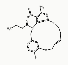 CCOC(=O)N1Cc2ccc(F)c(c2)OC/C=C/CCOc2cc1c([N+](=O)[O-])c(N)n2